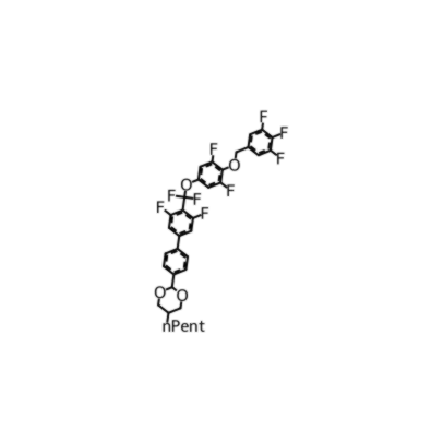 CCCCCC1COC(c2ccc(-c3cc(F)c(C(F)(F)Oc4cc(F)c(OCc5cc(F)c(F)c(F)c5)c(F)c4)c(F)c3)cc2)OC1